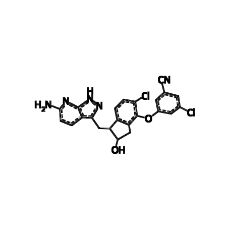 N#Cc1cc(Cl)cc(Oc2c(Cl)ccc3c2CC(O)C3Cc2n[nH]c3nc(N)ccc23)c1